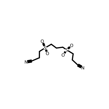 N#CCCS(=O)(=O)CCCS(=O)(=O)CCC#N